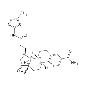 Cc1cnc(NC(=O)CC[C@@H]2CC(=O)[C@@]3(C)CC[C@@H]4c5ccc(C(N)=O)cc5CC[C@H]4[C@H]23)s1